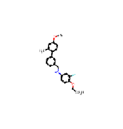 CCCOc1ccc(-c2cccc(CNc3ccc(OCC(=O)O)c(F)c3)c2)c(C)c1